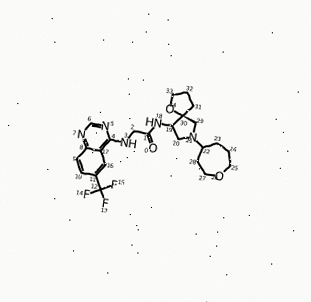 O=C(CNc1ncnc2ccc(C(F)(F)F)cc12)NC1CN(C2CCCOCC2)C[C@@]12CCCO2